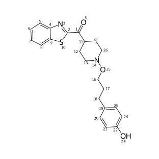 O=C(c1nc2ccccc2s1)C1CCN(OCCCc2ccc(O)cc2)CC1